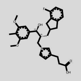 COc1cc([C@@H](O)[C@H](CC2Cc3cccc(F)c3C2)Cn2ccc(CCC(=O)O)c2)cc(OC)c1C